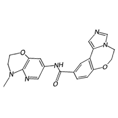 CN1CCOc2cc(NC(=O)c3ccc4c(c3)-c3cncn3CCO4)cnc21